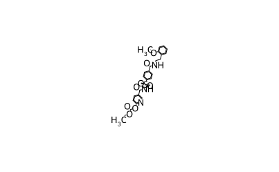 CCOC(=O)Oc1ccc(C(=O)NS(=O)(=O)c2ccc(C(=O)NCCc3ccccc3OC)cc2)cn1